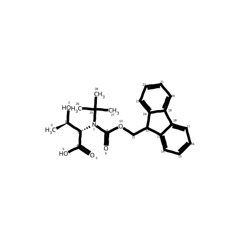 C[C@@H](O)[C@@H](C(=O)O)N(C(=O)OCC1c2ccccc2-c2ccccc21)C(C)(C)C